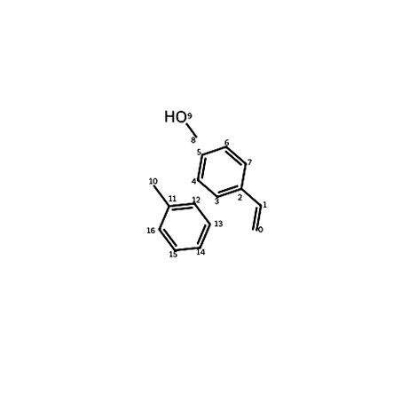 C=Cc1ccccc1.CO.Cc1ccccc1